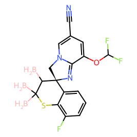 BC1C(B)(B)Sc2c(F)cccc2[C@]12CN1C=C(C#N)C=C(OC(F)F)C1=N2